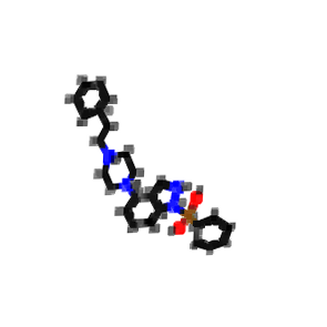 O=S(=O)(c1ccccc1)n1ncc2c(N3CCN(CCc4ccccc4)CC3)cccc21